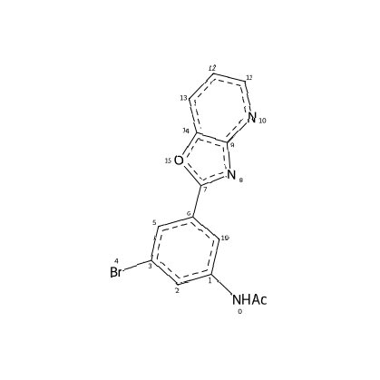 CC(=O)Nc1cc(Br)cc(-c2nc3ncccc3o2)c1